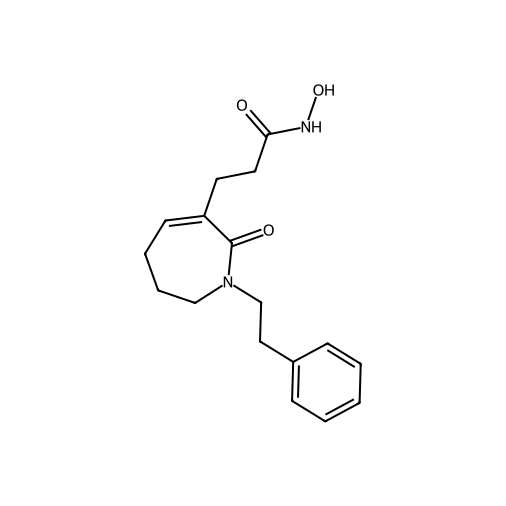 O=C(CCC1=CCCCN(CCc2ccccc2)C1=O)NO